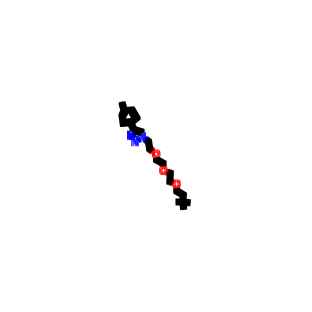 Cc1ccc(-c2cn(CCOCCOCCOCCC(C)(C)C)nn2)cc1